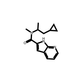 CC(CC1CC1)N(C)C(=O)c1cc2cccnc2[nH]1